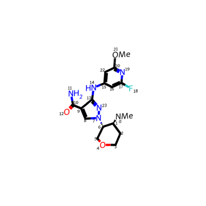 CN[C@H]1CCOC[C@@H]1n1cc(C(N)=O)c(Nc2cc(F)nc(OC)c2)n1